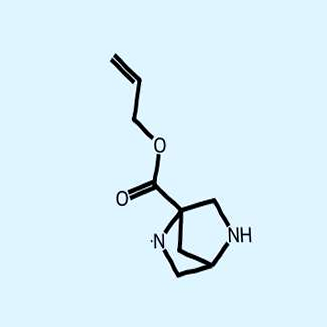 C=CCOC(=O)C12CNC(C[N]1)C2